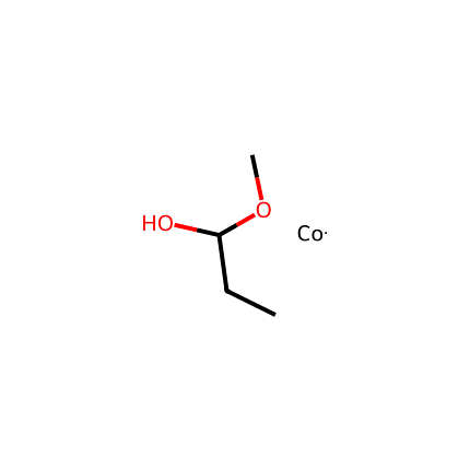 CCC(O)OC.[Co]